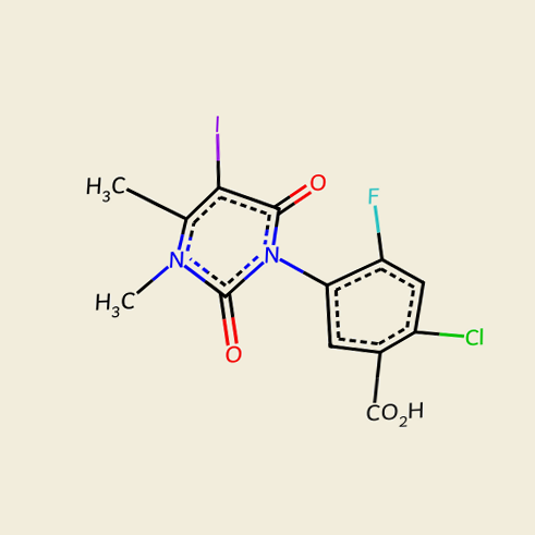 Cc1c(I)c(=O)n(-c2cc(C(=O)O)c(Cl)cc2F)c(=O)n1C